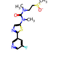 CN(CC[S+](C)[O-])C(=O)N(C)c1cnc(-c2cncc(F)c2)s1